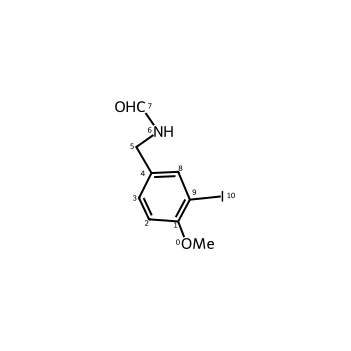 COc1ccc(CNC=O)cc1I